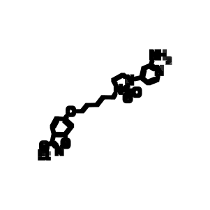 CCOc1noc2cc(OCCCCCN3CCN(c4ccnc(N)c4)S3(=O)=O)ccc12